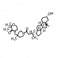 CC(CCC(=O)N1CCC(C)(CN2CCOC(C)(C)C2=O)CC1)[C@H]1CC[C@H]2[C@@H]3CC=C4C[C@@H](O)CC[C@]4(C)[C@H]3CC[C@]12C